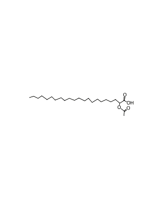 CCCCCCCCCCCCCCCCCCCCC(OC(C)=O)C(=O)O